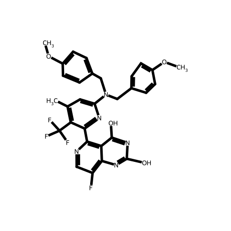 COc1ccc(CN(Cc2ccc(OC)cc2)c2cc(C)c(C(F)(F)F)c(-c3ncc(F)c4nc(O)nc(O)c34)n2)cc1